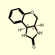 O=C1N[C@@H]2COc3ccccc3[C@@H]2N1